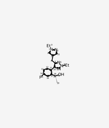 CCn1cc(Cc2nn(CC)nc2-c2ccc(F)cc2[C@@H](C)O)cn1